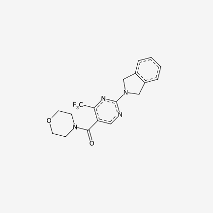 O=C(c1cnc(N2Cc3ccccc3C2)nc1C(F)(F)F)N1CCOCC1